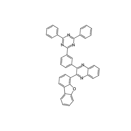 c1ccc(-c2nc(-c3ccccc3)nc(-c3cccc(-c4nc5ccccc5nc4-c4cccc5c4oc4ccccc45)c3)n2)cc1